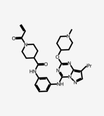 C=CC(=O)N1CCC(C(=O)Nc2cccc(Nc3nc(OC4CCN(C)CC4)nc4c(C(C)C)cnn34)c2)CC1